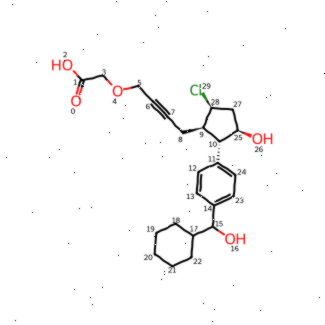 O=C(O)COCC#CC[C@@H]1[C@@H](c2ccc(C(O)C3CCCCC3)cc2)[C@H](O)C[C@@H]1Cl